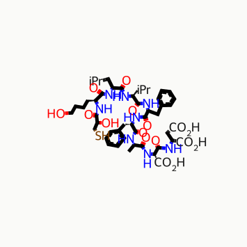 CC(C)CC(NC(=O)[C@H](CCCCO)NC(=O)C(O)CS)C(=O)N[C@H](C(=O)NC(Cc1ccccc1)C(=O)N[C@@H](Cc1ccccc1)C(=O)NC(C)C(=O)N[C@@H](C(=O)O)C(=O)NC(CC(=O)O)C(=O)O)C(C)C